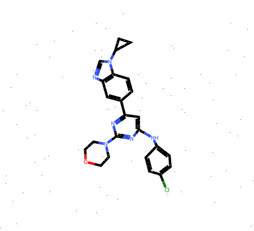 Clc1ccc(Nc2cc(-c3ccc4c(c3)ncn4C3CC3)nc(N3CCOCC3)n2)cc1